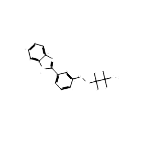 CC(C)(O)C(C)(C)OBc1cccc(-c2nc3ccccc3o2)c1